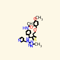 COc1ccc(COCCc2csc3c2C(c2ccc(NC(C)=O)cc2)=NN(Cc2cccnc2)c2nnc(C)n2-3)cc1